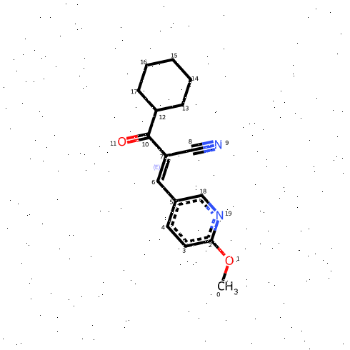 COc1ccc(/C=C(\C#N)C(=O)C2CCCCC2)cn1